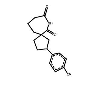 N#Cc1ccc(N2CCC3(CCCC(=O)NC3=O)C2)cc1